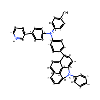 N#Cc1ccc(N(c2ccc(-c3cccnc3)cc2)c2ccc(-c3ccc4c5c3ccc3cccc(c35)n4-c3ccccc3)cc2)cc1